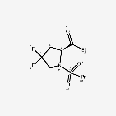 CCC(=O)[C@@H]1CC(F)(F)CN1S(=O)(=O)C(C)C